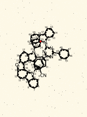 N#CC1=C(n2c3ccccc3c3ccc4oc5ccc6c(c7c(n6-c6ccccc6)C=CCC#C7)c5c4c32)CCC(c2nc(-c3ccccc3)nc(-n3c4ccccc4c4ccccc43)n2)=C1